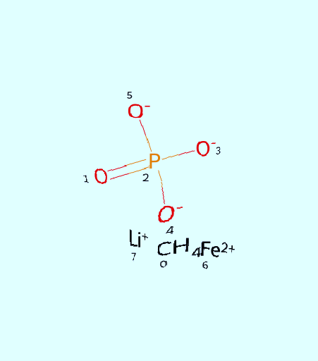 C.O=P([O-])([O-])[O-].[Fe+2].[Li+]